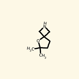 CC1(C)CCC2(CNC2)O1